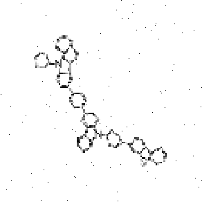 c1ccc(-n2c3ccc(-c4ccc(-c5ccc6c(c5)c5ccccc5n6-c5ccc(-c6ccc7c(c6)sc6ccccc67)cc5)cc4)cc3c3ccc4ccccc4c32)cc1